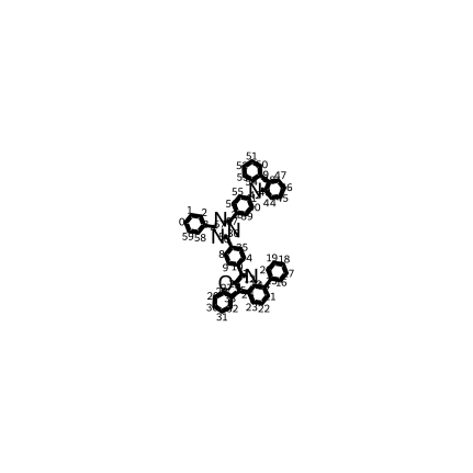 c1ccc(-c2nc(-c3ccc(-c4nc5c(-c6ccccc6)cccc5c5c4oc4ccccc45)cc3)nc(-c3ccc(-n4c5ccccc5c5ccccc54)cc3)n2)cc1